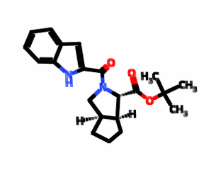 CC(C)(C)OC(=O)[C@@H]1[C@H]2CCC[C@H]2CN1C(=O)c1cc2ccccc2[nH]1